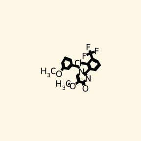 COc1cccc(Cn2cc(OC)c(=O)nc2-c2cccc(C(F)(F)F)c2Cl)c1